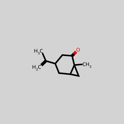 C=C(C)C1CC(=O)C2(C)CC2C1